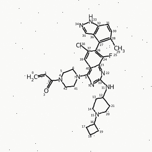 C=CC(=O)N1CCN(c2nc(NC3CCN(C4CCC4)CC3)nc3c(F)c(-c4c(C)ccc5[nH]ncc45)c(Cl)cc23)CC1